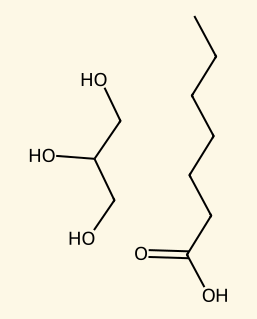 CCCCCCC(=O)O.OCC(O)CO